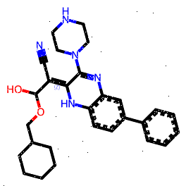 N#C/C(=C1/Nc2ccc(-c3ccccc3)cc2N=C1N1CCNCC1)C(O)OCC1CCCCC1